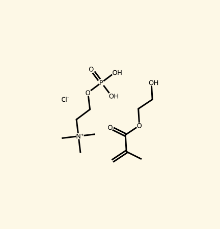 C=C(C)C(=O)OCCO.C[N+](C)(C)CCOP(=O)(O)O.[Cl-]